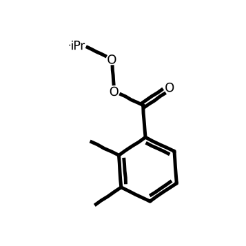 C[C](C)OOC(=O)c1cccc(C)c1C